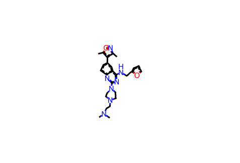 Cc1noc(C)c1-c1ccc2nc(N3CCN(CCN(C)C)CC3)nc(NCc3ccco3)c2c1